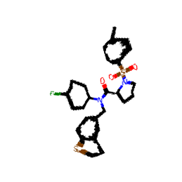 Cc1ccc(S(=O)(=O)N2CCC[C@H]2C(=O)N(Cc2ccc3sccc3c2)C2CCC(F)CC2)cc1